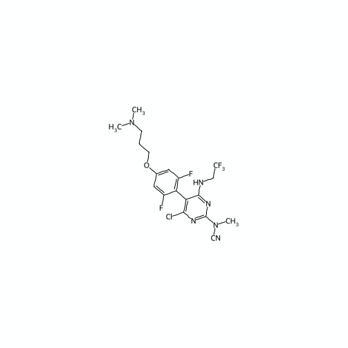 CN(C)CCCOc1cc(F)c(-c2c(Cl)nc(N(C)C#N)nc2NCC(F)(F)F)c(F)c1